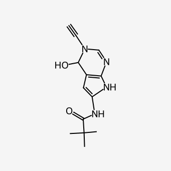 C#CN1C=Nc2[nH]c(NC(=O)C(C)(C)C)cc2C1O